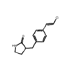 O=C1NCCC1Cc1ccc(/C=C/Cl)cc1